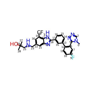 Cn1cnnc1-c1cc(F)ccc1-c1cccc(-c2nc3cc(CNCC(C)(C)O)cc(C(F)(F)F)c3[nH]2)c1